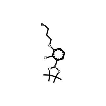 CC1(C)OB(c2cccc(OCCCBr)c2Cl)OC1(C)C